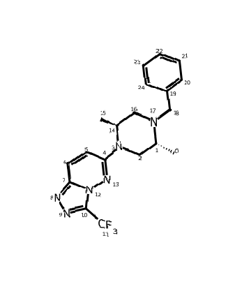 C[C@@H]1CN(c2ccc3nnc(C(F)(F)F)n3n2)[C@@H](C)CN1Cc1ccccc1